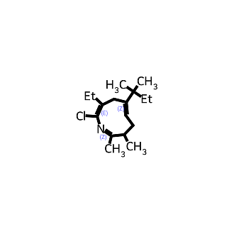 CC/C1=C(Cl)/N=C(/C)C(C)C/C=C(\C(C)(C)CC)C1